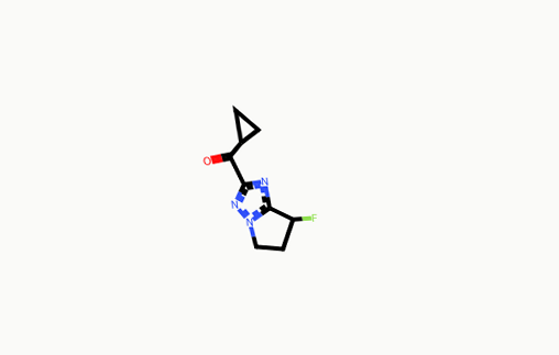 O=C(c1nc2n(n1)CCC2F)C1CC1